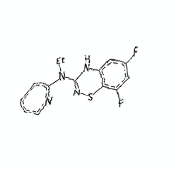 CCN(C1=NSc2c(F)cc(F)cc2N1)c1ccccn1